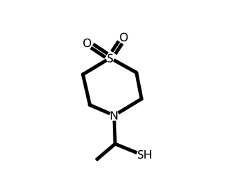 CC(S)N1CCS(=O)(=O)CC1